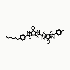 CCCCCCc1ccc(-c2nc3c(s2)-c2sc(-c4nc5c(s4)-c4sc(-c6ccc(C)cc6)nc4C5=O)nc2C3=O)cc1